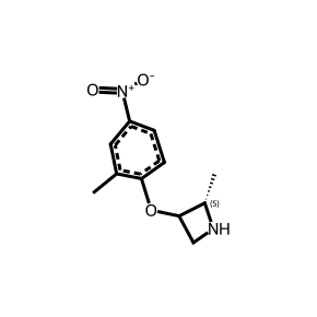 Cc1cc([N+](=O)[O-])ccc1OC1CN[C@H]1C